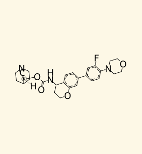 O=C(NC1CCOc2cc(-c3ccc(N4CCOCC4)c(F)c3)ccc21)O[C@@H]1CN2CCC1CC2